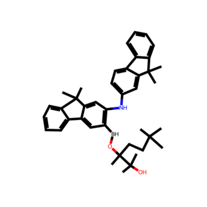 CC(C)(C)CCC(C)(OBc1cc2c(cc1Nc1ccc3c(c1)C(C)(C)c1ccccc1-3)C(C)(C)c1ccccc1-2)C(C)(C)O